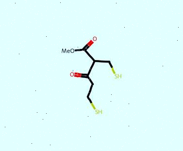 COC(=O)C(CS)C(=O)CCS